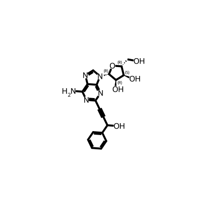 Nc1nc(C#CC(O)c2ccccc2)nc2c1ncn2[C@@H]1O[C@H](CO)[C@@H](O)[C@H]1O